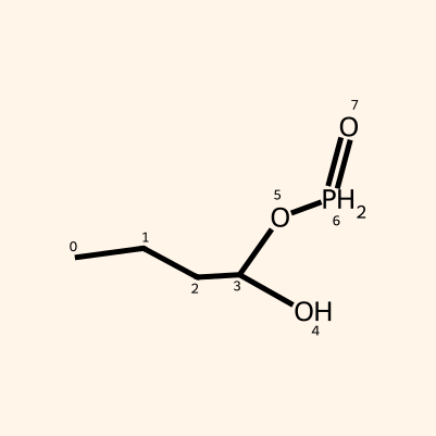 CCCC(O)O[PH2]=O